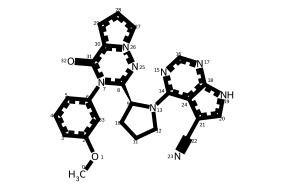 COc1cccc(-n2c([C@@H]3CCCN3c3ncnc4[nH]cc(C#N)c34)nn3cccc3c2=O)c1